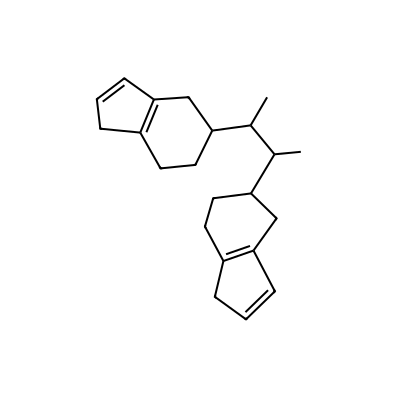 CC(C1CCC2=C(C=CC2)C1)C(C)C1CCC2=C(C=CC2)C1